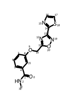 O=C(NF)c1cccc(OCc2nc(-c3nccs3)no2)c1